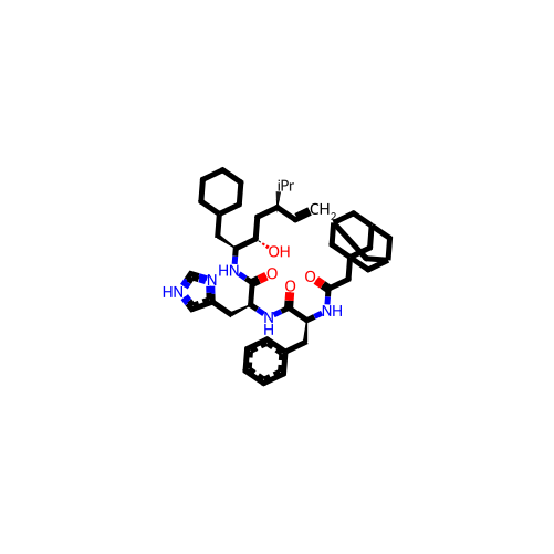 C=C[C@@H](C[C@H](O)[C@H](CC1CCCCC1)NC(=O)[C@H](Cc1c[nH]cn1)NC(=O)[C@H](Cc1ccccc1)NC(=O)CC12CC3CC(CC(C3)C1)C2)C(C)C